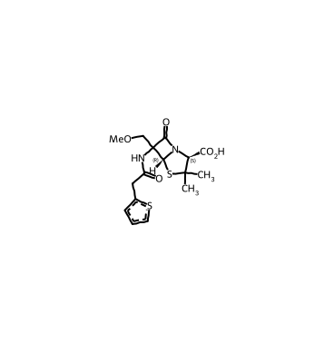 COCC1(NC(=O)Cc2cccs2)C(=O)N2[C@@H](C(=O)O)C(C)(C)S[C@@H]21